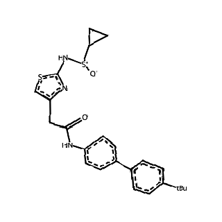 CC(C)(C)c1ccc(-c2ccc(NC(=O)Cc3csc(N[S+]([O-])C4CC4)n3)cc2)cc1